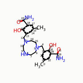 Cc1cc(CN2CCNCCN(Cc3cc(C)cc(C(N)=O)c3O)CC2)c(O)c(C(N)=O)c1